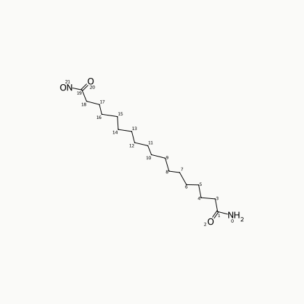 NC(=O)CCCCCCCCCCCCCCCCC(=O)N=O